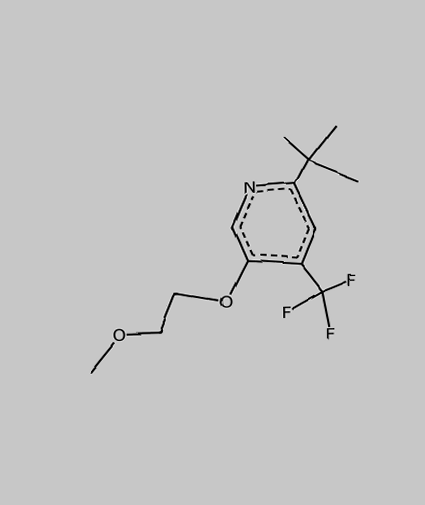 COCCOc1cnc(C(C)(C)C)cc1C(F)(F)F